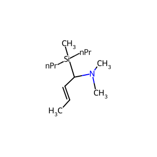 CC=CC(N(C)C)[Si](C)(CCC)CCC